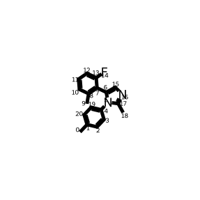 Cc1ccc(-n2c(-c3c(C)cccc3F)cnc2C)cc1